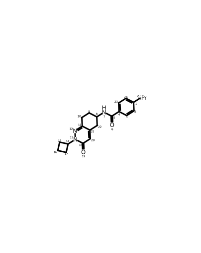 CC(C)c1ccc(C(=O)NC2CCc3nn(C4CCC4)c(=O)cc3C2)cc1